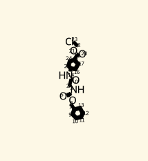 O=C(CNC(=O)OCc1ccccc1)Nc1ccc(C(=O)OCCl)cc1